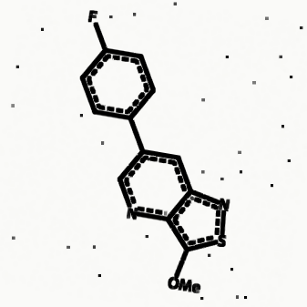 COc1snc2cc(-c3ccc(F)cc3)cnc12